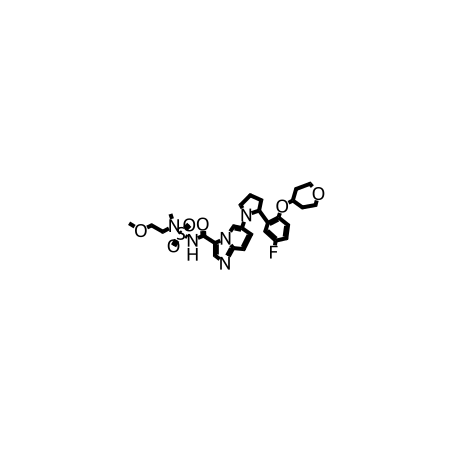 COCCN(C)S(=O)(=O)NC(=O)c1cnc2ccc(N3CCCC3c3cc(F)ccc3OC3CCOCC3)cn12